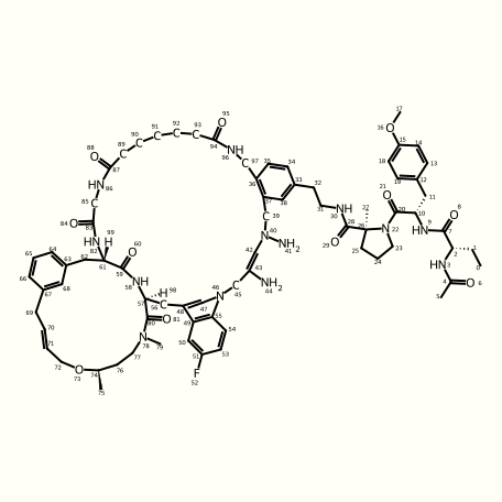 CC[C@H](NC(C)=O)C(=O)N[C@@H](Cc1ccc(OC)cc1)C(=O)N1CCC[C@@]1(C)C(=O)NCCc1ccc2c(c1)CN(N)/C=C(\N)Cn1cc(c3cc(F)ccc31)C[C@@H]1NC(=O)[C@H](Cc3cccc(c3)C/C=C/CO[C@H](C)CCN(C)C1=O)NC(=O)CNC(=O)CCCCCC(=O)NC2